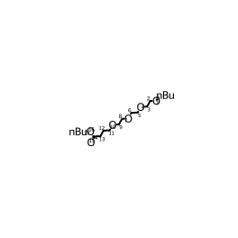 CCCCOCCOCCOCCOCCCC(=O)OCCCC